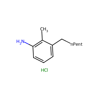 CCCCCCc1cccc(N)c1C.Cl